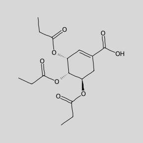 CCC(=O)O[C@@H]1[C@H](OC(=O)CC)C=C(C(=O)O)C[C@H]1OC(=O)CC